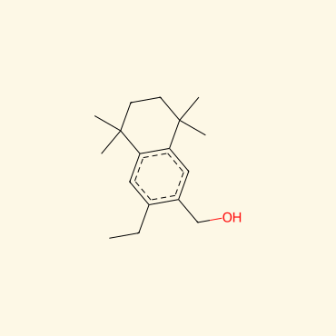 CCc1cc2c(cc1CO)C(C)(C)CCC2(C)C